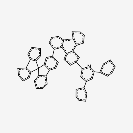 c1ccc(-c2cc(-c3ccccc3)nc(-c3ccc4c(c3)c3ccccc3c3cccc(-c5ccc6c(c5)C5(c7ccccc7-c7ccccc75)c5ccccc5-6)c34)c2)cc1